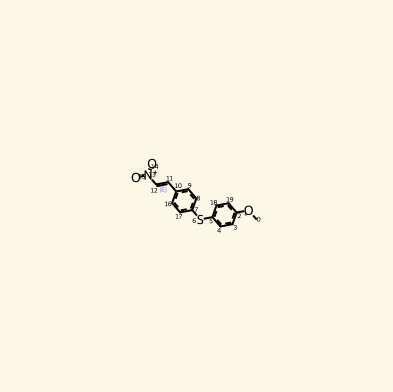 COc1ccc(Sc2ccc(/C=C/[N+](=O)[O-])cc2)cc1